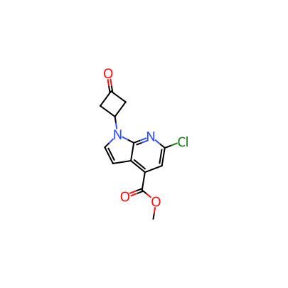 COC(=O)c1cc(Cl)nc2c1ccn2C1CC(=O)C1